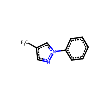 FC(F)(F)c1cnn(-c2c[c]ccc2)c1